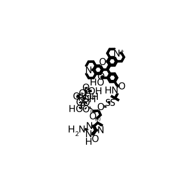 CC(C)(CNC(=O)c1ccc(C2=c3cc4c5c(c3Oc3c2cc2c6c3CCCN6CCC2)CCC[N+]=5CCC4)c(C(=O)O)c1)SSCOC1C[C@H](C2C=Nc3c2nc(N)[nH]c3=O)O[C@@H]1COP(=O)(O)OP(=O)(O)OP(=O)(O)O